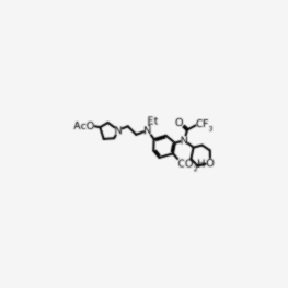 CCN(CCN1CCC(OC(C)=O)C1)c1ccc(C(=O)O)c(N(C(=O)C(F)(F)F)C2CCOCC2)c1